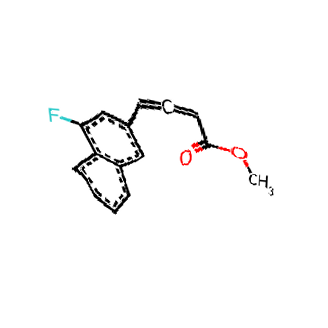 COC(=O)C=C=Cc1cc(F)c2ccccc2c1